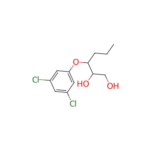 CCCC(Oc1cc(Cl)cc(Cl)c1)C(O)CO